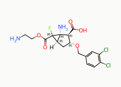 NCCOC(=O)[C@@]1(F)[C@@H]2C[C@@H](OCc3ccc(Cl)c(Cl)c3)[C@H](C(=O)O)[C@@]21N